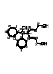 C[Si](c1ccccc1)(c1ccccc1)P(C=CCO)C=CCO